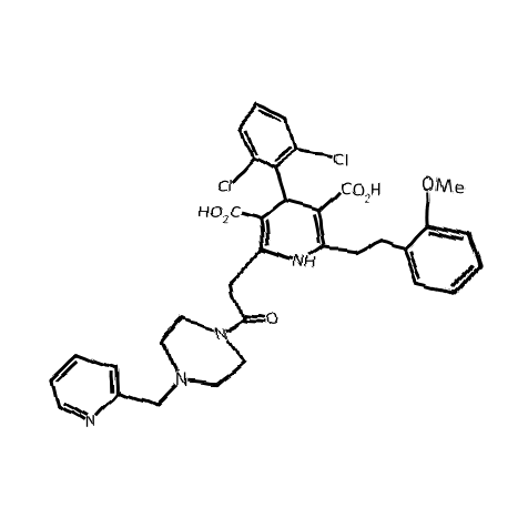 COc1ccccc1CCC1=C(C(=O)O)C(c2c(Cl)cccc2Cl)C(C(=O)O)=C(CC(=O)N2CCN(Cc3ccccn3)CC2)N1